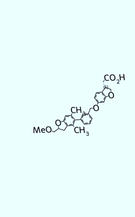 COCC1Cc2c(cc(C)c(-c3cccc(COc4ccc5c(c4)OC[C@H]5CC(=O)O)c3)c2C)O1